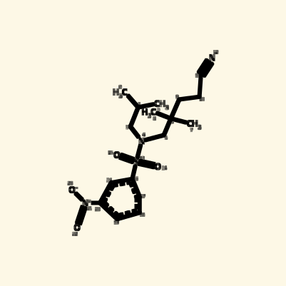 CC(C)CN(CC(C)(C)CCC#N)S(=O)(=O)c1cccc([N+](=O)[O-])c1